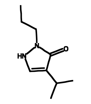 CCCn1[nH]cc(C(C)C)c1=O